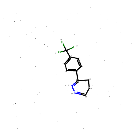 FC(F)(F)c1ccc(C2=NN=CCC2)cc1